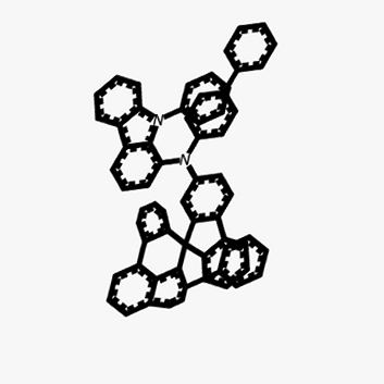 c1ccc(-c2ccc(N(c3ccc4c(c3)C3(c5ccccc5-4)c4ccccc4-c4cccc5ccc(-c6ccccc6)c3c45)c3cccc4c5ccccc5n(-c5ccccc5)c34)cc2)cc1